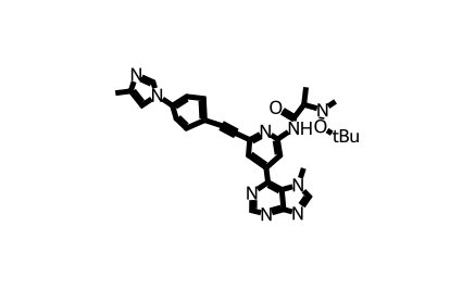 Cc1cn(-c2ccc(C#Cc3cc(-c4ncnc5ncn(C)c45)cc(NC(=O)C(C)N(C)OC(C)(C)C)n3)cc2)cn1